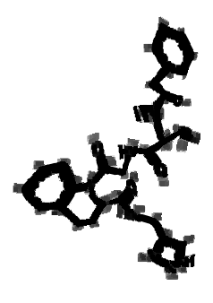 CC[C@H](C)[C@H](NC(=O)Cc1ccccc1)C(=O)NCC(=O)N1c2ccccc2CC[C@H]1C(=O)NCc1c[nH]nn1